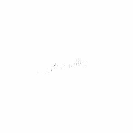 Cc1cc(Br)cc(C)c1NC(=O)NS/N=C/c1ccc2c(c1)CCc1c-2nnn1-c1ccc(OC(F)(F)F)cc1